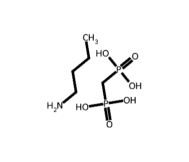 CCCCN.O=P(O)(O)CP(=O)(O)O